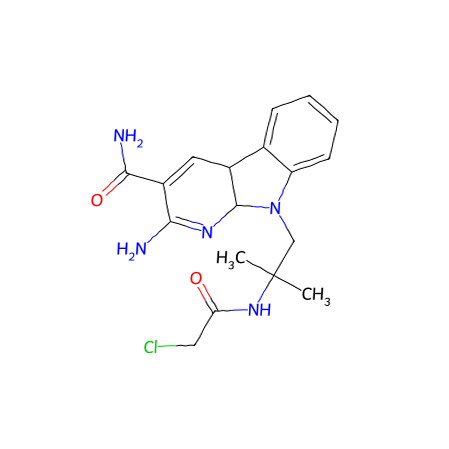 CC(C)(CN1c2ccccc2C2C=C(C(N)=O)C(N)=NC21)NC(=O)CCl